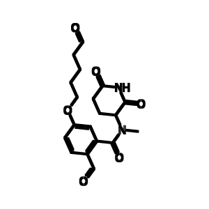 CN(C(=O)c1cc(OCCCCC=O)ccc1C=O)C1CCC(=O)NC1=O